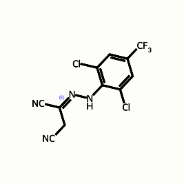 N#CC/C(C#N)=N\Nc1c(Cl)cc(C(F)(F)F)cc1Cl